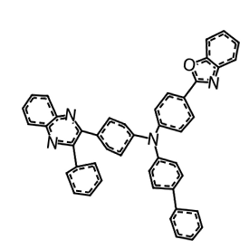 c1ccc(-c2ccc(N(c3ccc(-c4nc5ccccc5o4)cc3)c3ccc(-c4nc5ccccc5nc4-c4ccccc4)cc3)cc2)cc1